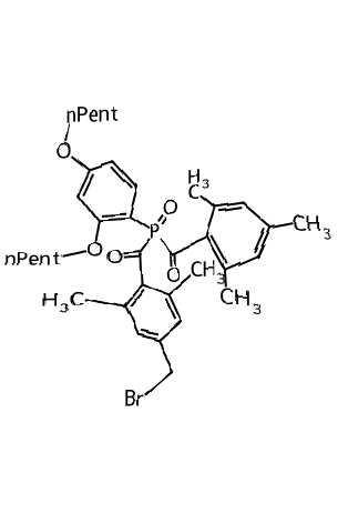 CCCCCOc1ccc(P(=O)(C(=O)c2c(C)cc(C)cc2C)C(=O)c2c(C)cc(CBr)cc2C)c(OCCCCC)c1